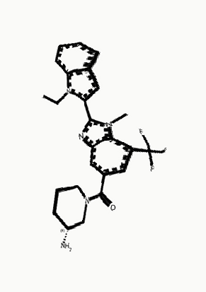 CCn1c(-c2nc3cc(C(=O)N4CCC[C@@H](N)C4)cc(C(F)(F)F)c3n2C)cc2ccccc21